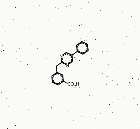 O=C(O)c1cccc(Cc2ncc(-c3ccccc3)cn2)c1